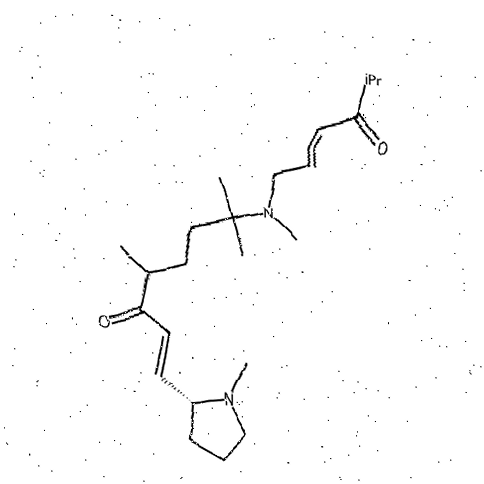 CC(C)C(=O)/C=C/CN(C)C(C)(C)CCC(C)C(=O)/C=C/[C@H]1CCCN1C